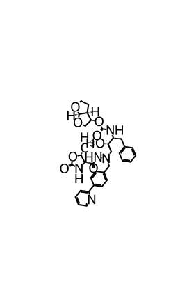 C[C@H]1OC(=O)N[C@@H]1C(=O)NN(Cc1ccc(-c2ccccn2)cc1)C[C@H](O)[C@H](Cc1ccccc1)NC(=O)O[C@H]1CO[C@H]2OCC[C@H]21